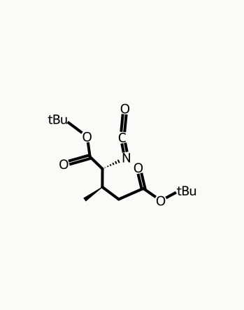 C[C@H](CC(=O)OC(C)(C)C)[C@@H](N=C=O)C(=O)OC(C)(C)C